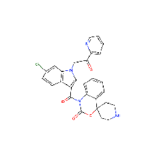 O=C(Cn1cc(C(=O)N2C(=O)OC3(CCNCC3)c3ccccc32)c2ccc(Cl)cc21)c1ccccn1